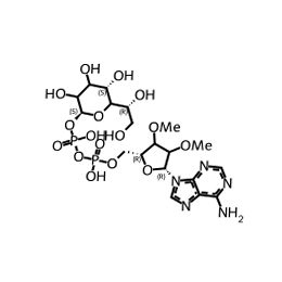 COC1C(OC)[C@@H](COP(=O)(O)OP(=O)(O)O[C@@H]2OC([C@H](O)CO)[C@@H](O)C(O)C2O)O[C@H]1n1cnc2c(N)ncnc21